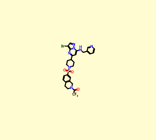 O=C(N1CCc2ccc(S(=O)(=O)N3CCC(c4cc(NCc5cccnc5)n5ncc(Br)c5n4)CC3)cc2C1)C(F)(F)F